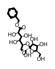 O=C[C@H](O[C@]1(CO)O[C@H](CO)[C@@H](O)[C@@H]1O)[C@@H](O)[C@@H](O)[C@H](O)C(=O)OCc1ccccc1